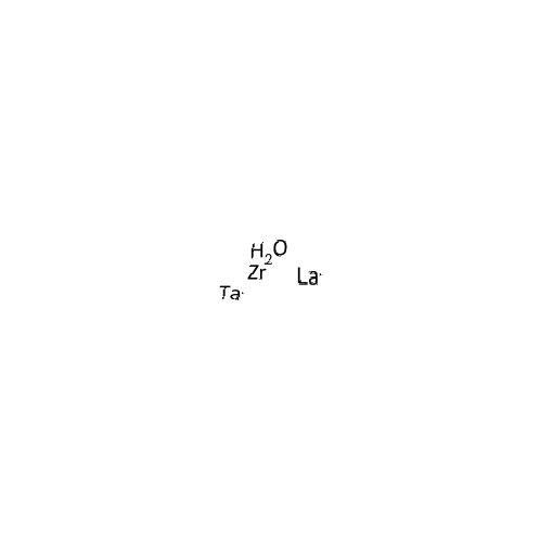 O.[La].[Ta].[Zr]